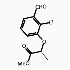 COC(=O)[C@@H](C)Oc1cccc(C=O)c1Cl